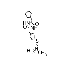 CN(C)CCSc1ccc(C=c2[nH]c(=O)c(=Cc3ccccc3)[nH]c2=O)cc1